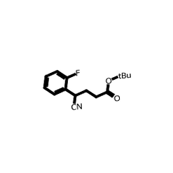 CC(C)(C)OC(=O)CCC(C#N)c1ccccc1F